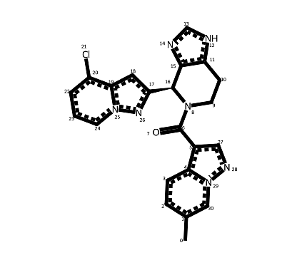 Cc1ccc2c(C(=O)N3CCc4[nH]cnc4[C@@H]3c3cc4c(Cl)cccn4n3)cnn2c1